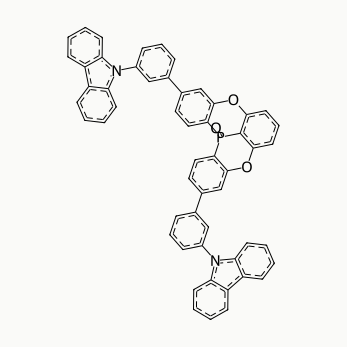 O=P12c3ccc(-c4cccc(-n5c6ccccc6c6ccccc65)c4)cc3Oc3cccc(c31)Oc1cc(-c3cccc(-n4c5ccccc5c5ccccc54)c3)ccc12